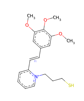 COc1cc(/C=C/c2cccc[n+]2CCCS)cc(OC)c1OC